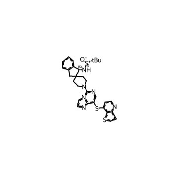 CC(C)(C)[S@@+]([O-])N[C@@H]1c2ccccc2CC12CCN(c1ncc(Sc3ccnc4ccsc34)c3nccn13)CC2